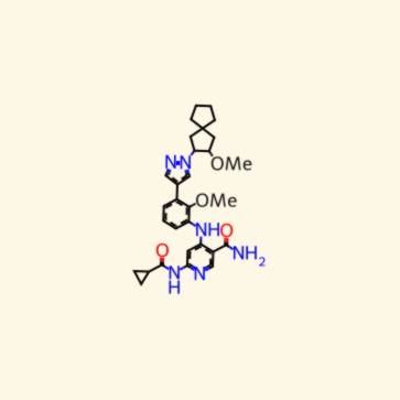 COc1c(Nc2cc(NC(=O)C3CC3)ncc2C(N)=O)cccc1-c1cnn(C2CC3(CCCC3)CC2OC)c1